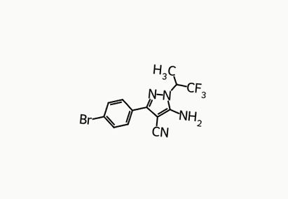 CC(n1nc(-c2ccc(Br)cc2)c(C#N)c1N)C(F)(F)F